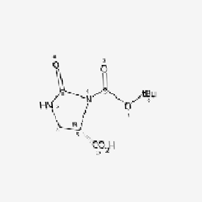 CC(C)(C)OC(=O)N1C(=O)NC[C@H]1C(=O)O